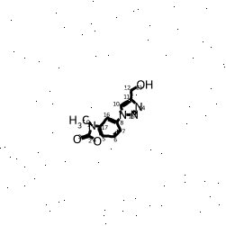 Cn1c(=O)oc2ccc(-n3cc(CO)nn3)cc21